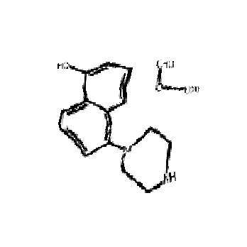 CC(C)(C)OC=O.Oc1cccc2c(N3CCNCC3)cccc12